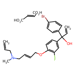 C=CCN(C)CC=CCOc1ccc(C(O)(C=C)c2ccc(Br)cc2)cc1F.O=C(O)C=CC(=O)O